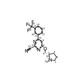 CN1CCC[C@H]1COc1cc(-c2cccc(C(F)(F)F)c2)nc(C#N)n1